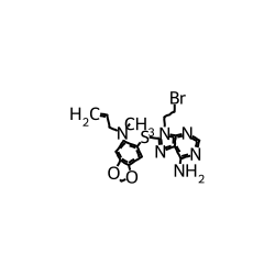 C=CCN(C)c1cc2c(cc1Sc1nc3c(N)ncnc3n1CCBr)OCO2